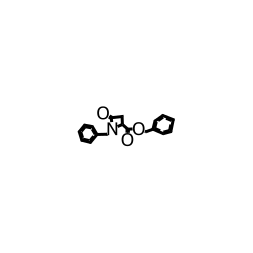 O=C(OCc1ccccc1)C1CC(=O)N1Cc1ccccc1